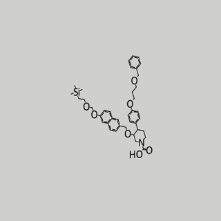 C[Si](C)(C)CCOCOc1ccc2cc(COC3CN(C(=O)O)CCC3c3ccc(OCCCOCc4ccccc4)cc3)ccc2c1